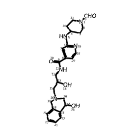 O=CN1CCC(Nc2cc(C(=O)NCC(O)CN3Cc4ccccc4C(O)C3)ccn2)CC1